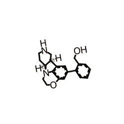 OCc1ccccc1-c1cc2c3c(c1)[C@@H]1CNCC[C@@H]1N3CCO2